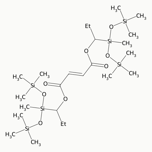 CCC(OC(=O)/C=C/C(=O)OC(CC)[Si](C)(O[Si](C)(C)C)O[Si](C)(C)C)[Si](C)(O[Si](C)(C)C)O[Si](C)(C)C